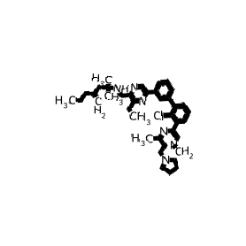 C=N/C=C(\N=C(\C)CCN1CCCC1)c1cccc(-c2cccc(-c3cnc(CNC(C)(C)CC(=C)CCC)c(CC)n3)c2)c1Cl